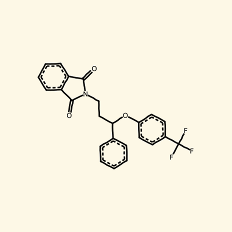 O=C1c2ccccc2C(=O)N1CCC(Oc1ccc(C(F)(F)F)cc1)c1ccccc1